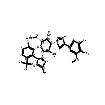 COc1cc(-c2cn([C@H]3[C@@H](O)[C@@H](CO)O[C@@H](c4nc(C)nn4-c4cc(Cl)ccc4C(F)(F)F)[C@@H]3O)nn2)cc(F)c1Cl